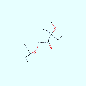 CCC(C)OCC(=O)C(C)(CC)OC